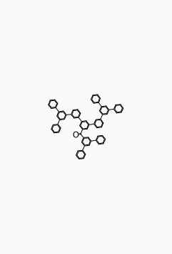 O=C(c1cc(-c2ccccc2)cc(-c2ccccc2)c1)c1cc(-c2cccc(-c3cc(-c4ccccc4)cc(-c4ccccc4)c3)c2)cc(-c2cccc(-c3cc(-c4ccccc4)cc(-c4ccccc4)c3)c2)c1